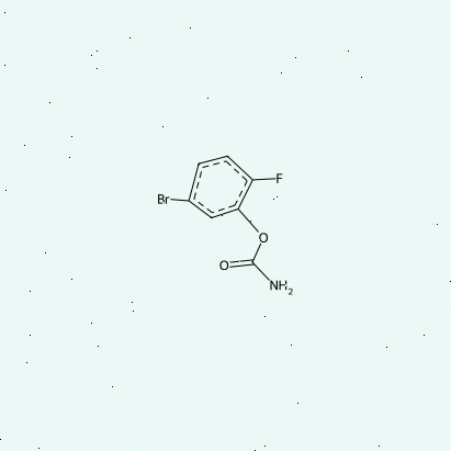 NC(=O)Oc1cc(Br)ccc1F